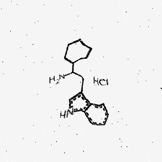 Cl.NC(Cc1c[nH]c2ccccc12)C1CCCCC1